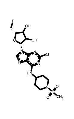 CS(=O)(=O)N1CCC(Nc2nc(Cl)nc3c2ncn3[C@@H]2O[C@H](CF)C(O)C2O)CC1